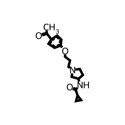 CC(=O)c1ccc(OCCCN2CCC(NC(=O)C3CC3)C2)cc1